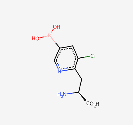 N[C@@H](Cc1ncc(B(O)O)cc1Cl)C(=O)O